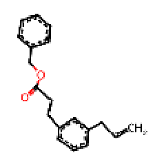 C=CCc1cccc(CCC(=O)OCc2ccccc2)c1